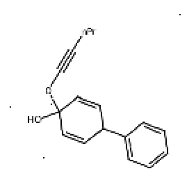 CCCC#COC1(O)C=CC(c2ccccc2)C=C1